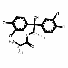 C[C@H](N)C(=O)O[C@@H](C)C(O)(c1ccc(Cl)c(Cl)c1)c1ccc(Cl)c(Cl)c1